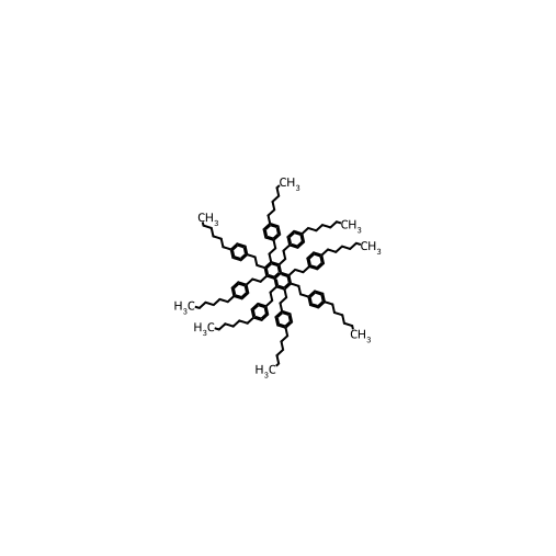 CCCCCCc1ccc(CCc2c(CCc3ccc(CCCCCC)cc3)c(CCc3ccc(CCCCCC)cc3)c3c(CCc4ccc(CCCCCC)cc4)c(CCc4ccc(CCCCCC)cc4)c(CCc4ccc(CCCCCC)cc4)c(CCc4ccc(CCCCCC)cc4)c3c2CCc2ccc(CCCCCC)cc2)cc1